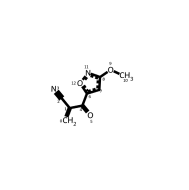 C=C(C#N)C(=O)c1cc(OC)no1